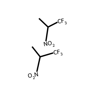 CC([N+](=O)[O-])C(F)(F)F.CC([N+](=O)[O-])C(F)(F)F